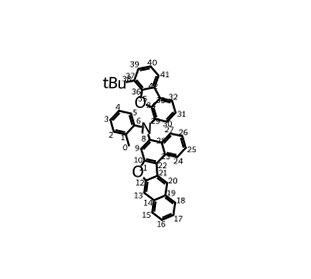 Cc1ccccc1N(c1cc2oc3cc4ccccc4cc3c2c2ccccc12)c1cccc2c1oc1c(C(C)(C)C)cccc12